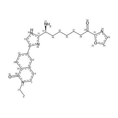 CCn1ccc2cc(-c3c[nH]c([C@@H](N)CCCCCC(=O)c4ncco4)n3)ccc2c1=O